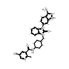 Cc1ncc(Cl)cc1C(=O)NC1CCC(Cn2c(=O)n(-c3ccc4c(N)n[nH]c4c3)c3ccccc32)CC1